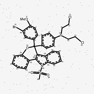 COc1ccc(C2(c3ccc(N(CCCl)CCCl)cc3)Oc3ccccc3-c3c2c2ccccc2n3S(C)(=O)=O)cc1Br